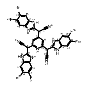 N#CC(c1cc(C(C#N)c2nc3cc(F)c(F)cc3[nH]2)nc(C(C#N)c2nc3cc(F)c(F)cc3[nH]2)c1)c1nc2cc(F)c(F)cc2[nH]1